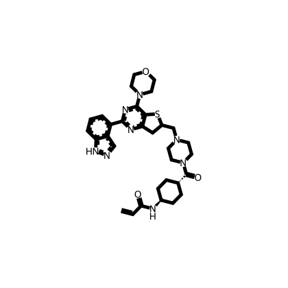 C=CC(=O)N[C@H]1CC[C@H](C(=O)N2CCN(CC3Cc4nc(-c5cccc6[nH]ncc56)nc(N5CCOCC5)c4S3)CC2)CC1